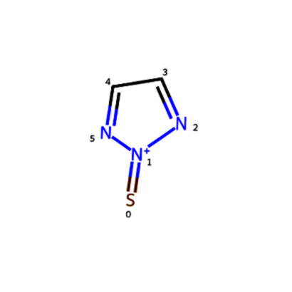 S=[N+]1N=CC=N1